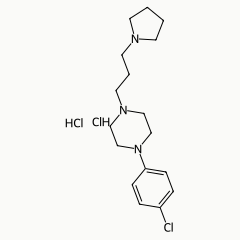 Cl.Cl.Clc1ccc(N2CCN(CCCN3CCCC3)CC2)cc1